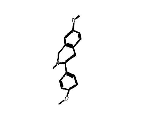 COc1ccc(C2=Cc3ccc(OC)cc3CN2C)cc1